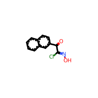 O=C(C(Cl)=NO)c1ccc2ccccc2c1